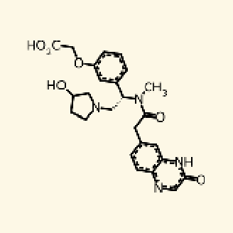 CN(C(=O)Cc1ccc2ncc(=O)[nH]c2c1)[C@H](CN1CCC(O)C1)c1cccc(OCC(=O)O)c1